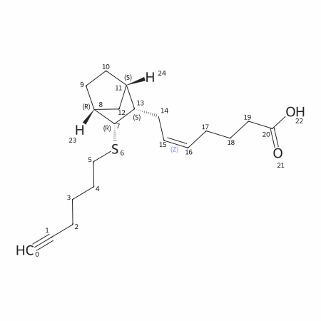 C#CCCCCS[C@@H]1[C@@H]2CC[C@@H](C2)[C@@H]1C/C=C\CCCC(=O)O